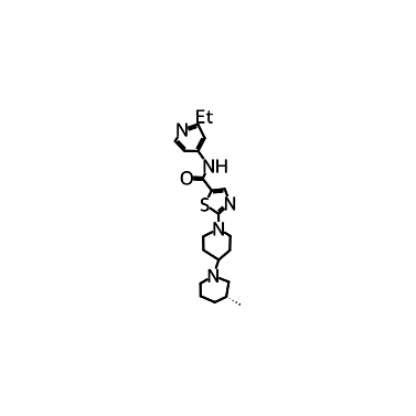 CCc1cc(NC(=O)c2cnc(N3CCC(N4CCC[C@@H](C)C4)CC3)s2)ccn1